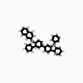 c1ccc(-n2c3cc(-c4ccc5c(c4)c4ccccc4n5-c4ccc5ccccc5c4)ccc3c3ncccc32)cc1